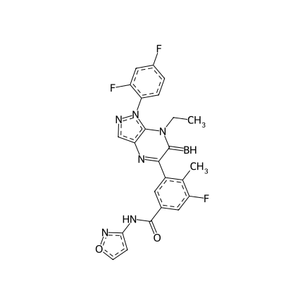 B=C1C(c2cc(C(=O)Nc3ccon3)cc(F)c2C)=Nc2cnn(-c3ccc(F)cc3F)c2N1CC